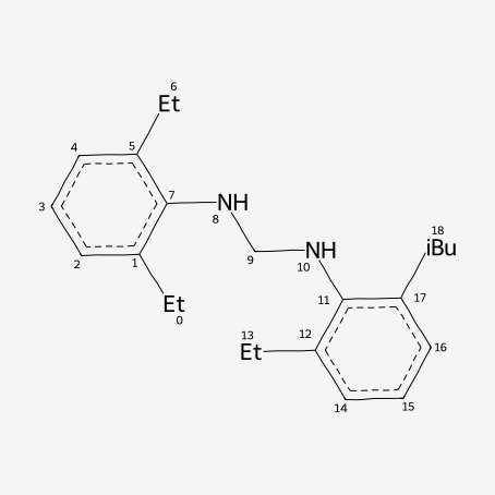 CCc1cccc(CC)c1NCNc1c(CC)cccc1C(C)CC